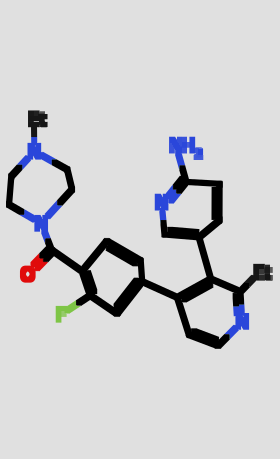 CCc1nccc(-c2ccc(C(=O)N3CCN(CC)CC3)c(F)c2)c1-c1ccc(N)nc1